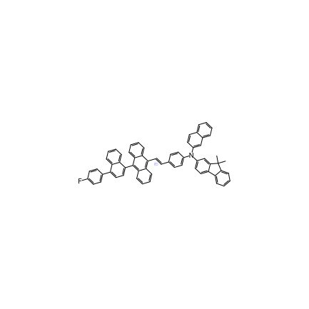 CC1(C)c2ccccc2-c2ccc(N(c3ccc(/C=C/c4c5ccccc5c(-c5ccc(-c6ccc(F)cc6)c6ccccc56)c5ccccc45)cc3)c3ccc4ccccc4c3)cc21